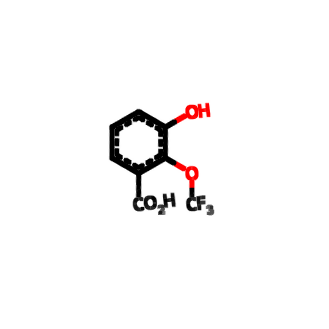 O=C(O)c1cccc(O)c1OC(F)(F)F